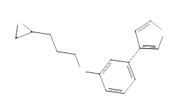 c1cc(OCCCC2CO2)cc(-c2ccsc2)c1